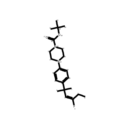 CC/C(F)=C\C(C)(C)c1ccc(N2CCN(C(=O)OC(C)(C)C)CC2)cc1